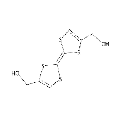 OCC1=CSC(=C2SC=C(CO)S2)S1